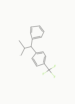 [CH2]C(C)C(c1ccccc1)c1ccc(C(F)(F)F)cc1